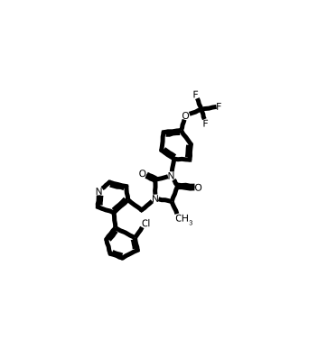 CC1C(=O)N(c2ccc(OC(F)(F)F)cc2)C(=O)N1Cc1ccncc1-c1ccccc1Cl